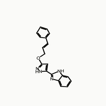 C(=Cc1ccccc1)COc1cc(-c2nc3ccccc3[nH]2)[nH]n1